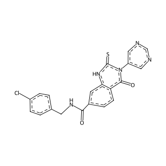 O=C(NCc1ccc(Cl)cc1)c1ccc2c(=O)n(-c3cncnc3)c(=S)[nH]c2c1